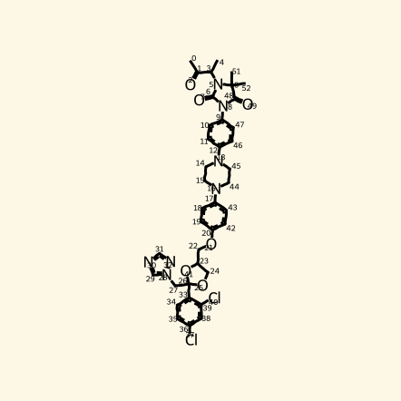 CC(=O)C(C)N1C(=O)N(c2ccc(N3CCN(c4ccc(OCC5COC(Cn6cncn6)(c6ccc(Cl)cc6Cl)O5)cc4)CC3)cc2)C(=O)C1(C)C